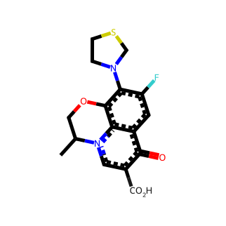 CC1COc2c(N3CCSC3)c(F)cc3c(=O)c(C(=O)O)cn1c23